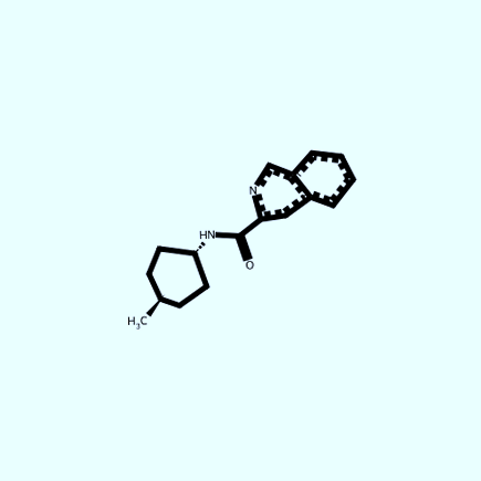 C[C@H]1CC[C@H](NC(=O)c2cc3ccccc3cn2)CC1